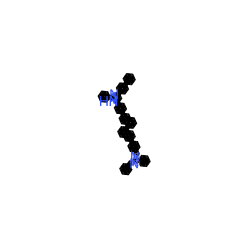 C1=C(c2ccc(-c3ccc4c(-c5cccc6cc(-c7ccc(/C=N/C(=N\Cc8ccccc8)c8ccccc8)cc7)ccc56)cccc4c3)cc2)NC(c2ccccc2)N=C1c1ccc(-c2ccccc2)cc1